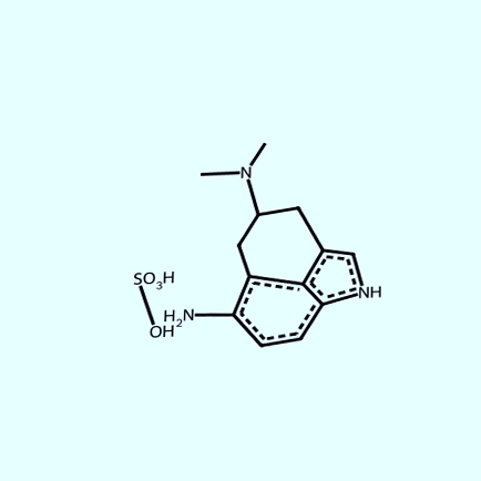 CN(C)C1Cc2c[nH]c3ccc(N)c(c23)C1.O=S(=O)(O)O